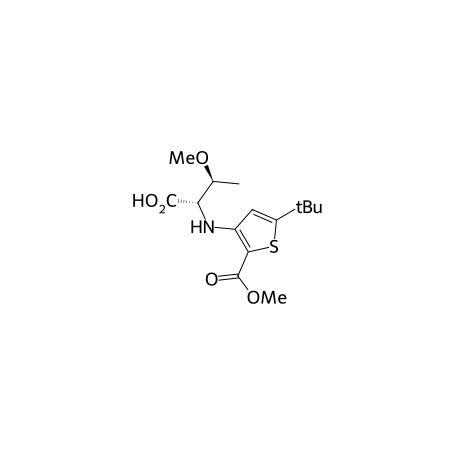 COC(=O)c1sc(C(C)(C)C)cc1N[C@H](C(=O)O)[C@H](C)OC